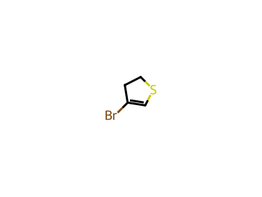 BrC1=CSCC1